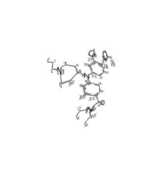 CCCN1CCC(N(c2ccc(C(=O)N(CC)CC)cc2)c2ccc(OC)c(Cl)c2)CC1